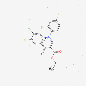 CCOC(=O)c1cn(-c2ccc(F)cc2F)c2cc(Cl)c(F)cc2c1=O